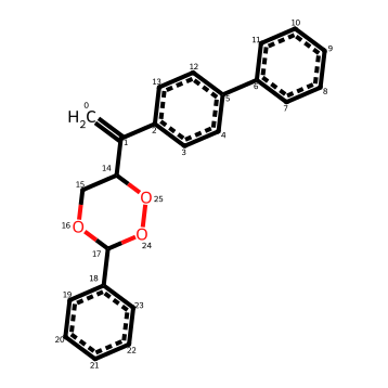 C=C(c1ccc(-c2ccccc2)cc1)C1COC(c2ccccc2)OO1